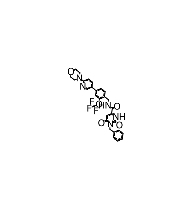 O=C(NCc1ccc(-c2ccc(N3CCOCC3)nc2)cc1OC(F)(F)F)c1cc(=O)n(Cc2ccccc2)c(=O)[nH]1